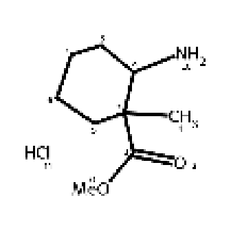 COC(=O)C1(C)CCCCC1N.Cl